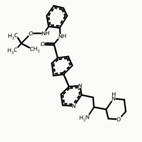 CC(C)(C)ONc1ccccc1NC(=O)c1ccc(-c2ccnc(CC(N)C3COCCN3)n2)cc1